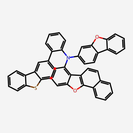 c1ccc(N(c2ccc3c(c2)oc2ccccc23)c2cccc3oc4c5ccccc5ccc4c23)c(-c2ccc3sc4ccccc4c3c2)c1